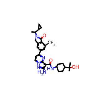 CC(C1CC1)N1Cc2cc(-c3ccn4nc(N)c(C(=O)NC5CCC(C(C)(C)O)CC5)c4n3)cc(C(F)(F)F)c2C1=O